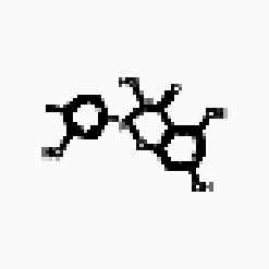 Cc1ccc([C@H]2Oc3cc(O)cc(O)c3C(=O)[C@@H]2O)cc1O